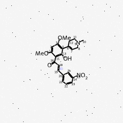 COc1cc(OC)c(C2=CCN(C)CC2)c(O)c1C(=O)/C=C/c1cccc([N+](=O)[O-])c1